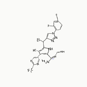 CCC(c1cn(-c2ccc(F)cc2F)nn1)c1[nH]c(/C(N)=N\C=N)c(-c2cnc(C(F)(F)F)nc2)c1C#N